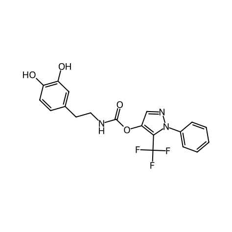 O=C(NCCc1ccc(O)c(O)c1)Oc1cnn(-c2ccccc2)c1C(F)(F)F